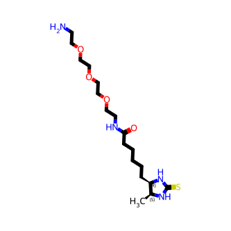 C[C@@H]1NC(=S)N[C@@H]1CCCCCC(=O)NCCOCCOCCOCCN